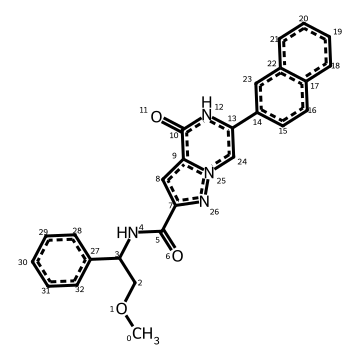 COCC(NC(=O)c1cc2c(=O)[nH]c(-c3ccc4ccccc4c3)cn2n1)c1ccccc1